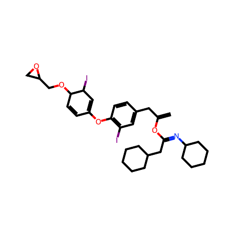 C=C(Cc1ccc(OC2=CC(I)C(OCC3CO3)C=C2)c(I)c1)O/C(CC1CCCCC1)=N/C1CCCCC1